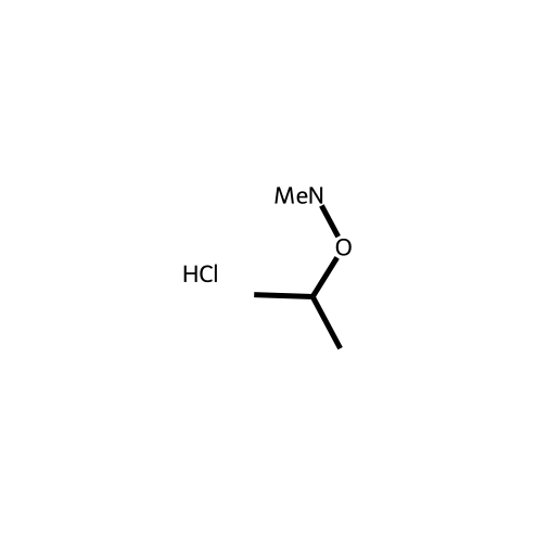 CNOC(C)C.Cl